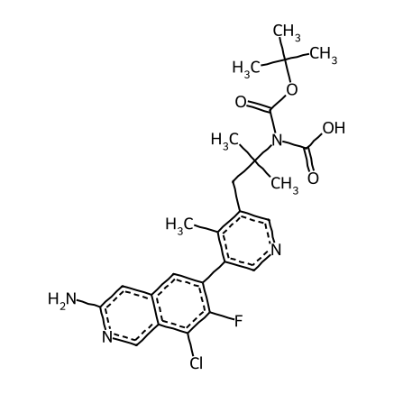 Cc1c(CC(C)(C)N(C(=O)O)C(=O)OC(C)(C)C)cncc1-c1cc2cc(N)ncc2c(Cl)c1F